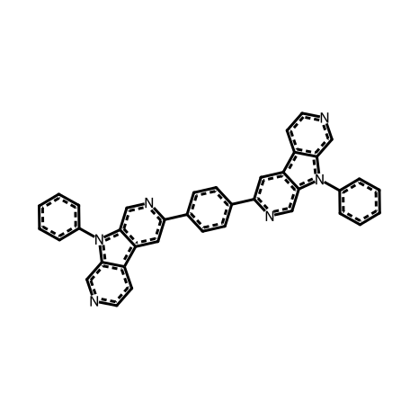 c1ccc(-n2c3cnccc3c3cc(-c4ccc(-c5cc6c7ccncc7n(-c7ccccc7)c6cn5)cc4)ncc32)cc1